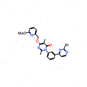 COc1cccc(COc2nc(C)n(-c3cccc(-c4ccnc(C(C)C)n4)c3)c(=O)c2C)n1